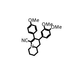 COc1ccc(C2=C(C#N)N3CCCCC3CC2c2ccc(OC)c(OC)c2)cc1